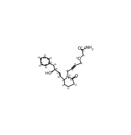 NC(=O)COCC#CCN1C(=O)CCCC1C=CC(O)Cc1ccccc1